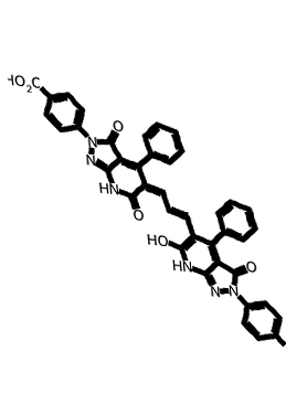 O=C(O)c1ccc(N2N=c3[nH]c(=O)c(=CC=Cc4c(O)[nH]c5nn(-c6ccc(C(=O)O)cc6)c(=O)c-5c4-c4ccccc4)c(-c4ccccc4)c3C2=O)cc1